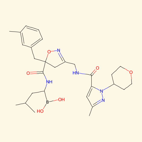 Cc1cccc(CC2(C(=O)NC(CC(C)C)B(O)O)CC(CNC(=O)c3cc(C)nn3C3CCOCC3)=NO2)c1